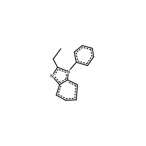 CCc1nc2ccccc2n1-c1c[c]ccc1